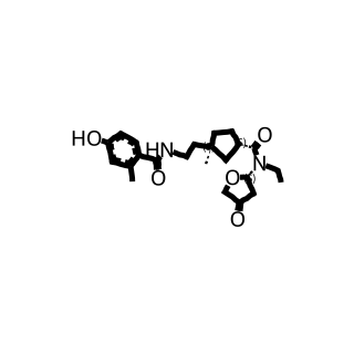 CCN(C(=O)[C@H]1CC[C@](C)(CCNC(=O)c2ccc(O)cc2C)C1)[C@@H]1CC(=O)CO1